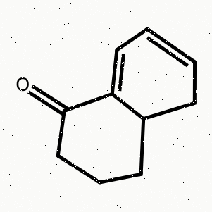 O=C1CCCC2CC=CC=C12